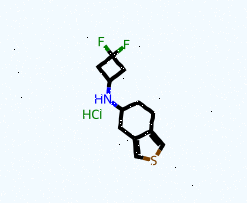 Cl.FC1(F)CC(NC2CCc3cscc3C2)C1